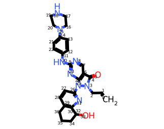 C=CCn1c(=O)c2cnc(Nc3ccc(N4CCNCC4)cc3)nc2n1-c1ccc2c(n1)C(O)CCC2